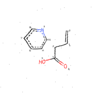 C=CCC(=O)O.c1ccncc1